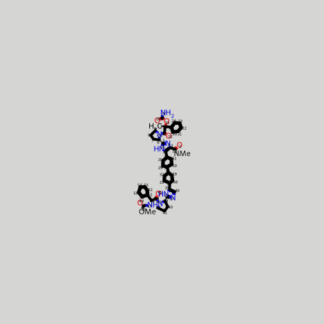 CNC(=O)c1nc([C@@H]2CCCN2C(=O)[C@](C)(OC(N)=O)c2ccccc2)[nH]c1-c1ccc(-c2ccc(-c3cnc([C@@H]4CCCN4C(=O)[C@H](NC(=O)OC)c4ccccc4)[nH]3)cc2)cc1